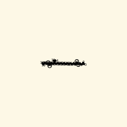 CC(C)CCOC(=O)CCCCCCCCCCCCCC(CCC(=O)OCCC(C)C)C(C)C